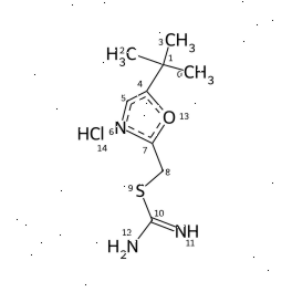 CC(C)(C)c1cnc(CSC(=N)N)o1.Cl